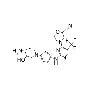 N#CC1CN(c2nc(Nc3ccc(N4CCC(N)C(O)C4)cc3)ncc2C(F)(F)F)CCO1